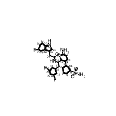 Nc1ccc(-c2cccc(S(N)(=O)=O)c2)c(C(Cc2cc(F)cc(F)c2)NC(=O)Cc2c[nH]c3ccc(F)cc23)n1